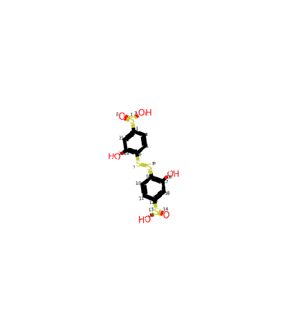 O=S(O)c1ccc(SSc2ccc(S(=O)O)cc2O)c(O)c1